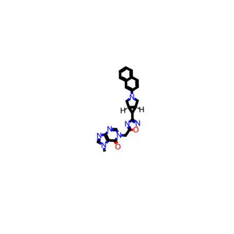 Cn1cnc2ncn(Cc3nc(C4[C@H]5CN(c6ccc7ccccc7c6)C[C@@H]45)no3)c(=O)c21